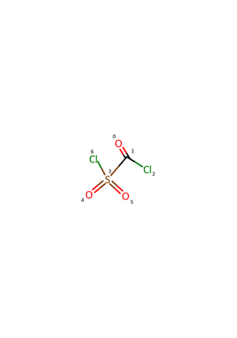 O=C(Cl)S(=O)(=O)Cl